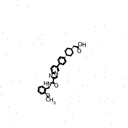 COc1ccccc1CNC(=O)c1cn2cc(-c3ccc([C@H]4CC[C@H](CC(=O)O)CC4)cc3)ccc2n1